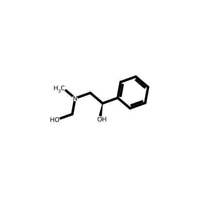 CN(CO)C[C@H](O)c1ccccc1